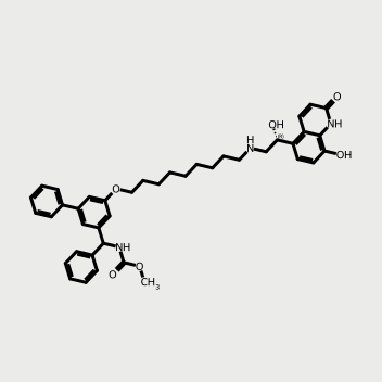 COC(=O)NC(c1ccccc1)c1cc(OCCCCCCCCCNC[C@H](O)c2ccc(O)c3[nH]c(=O)ccc23)cc(-c2ccccc2)c1